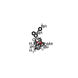 CC[C@H](C)[C@@H]([C@@H](CC(=O)N1CCC[C@H]1[C@H](OC)[C@@H](C)C(=O)NC(CC(=O)NCc1ccc(NI)cc1)Cc1ccccc1)OC)N(C)C(=O)[C@@H](NC(=O)[C@H](C(C)C)N(C)C)C(C)C